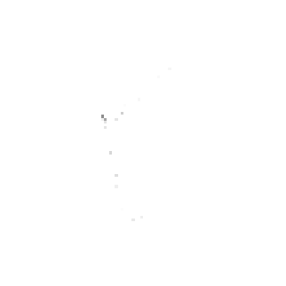 CCCCCCCCCCCCCCCCCC(=O)OCCCCCOC